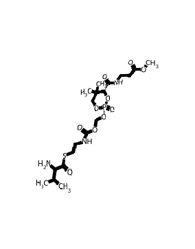 COC(=O)CCNC(=O)[C@@H]1O[P@](=O)(OCOC(=O)NCCSC(=O)C(N)C(C)C)OCC1(C)C